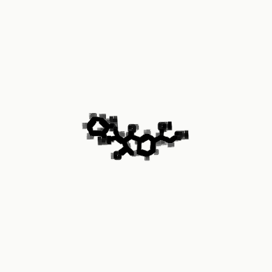 CC(=O)C(C(=O)c1cccc([C@@H](O)CO)c1)=C1Nc2ccccc2N1